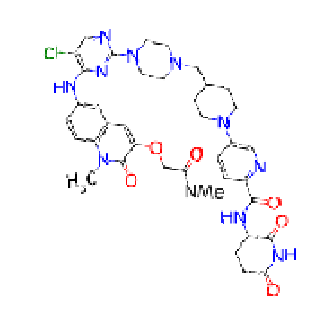 CNC(=O)COc1cc2cc(Nc3nc(N4CCN(CC5CCN(c6ccc(C(=O)NC7CCC(=O)NC7=O)nc6)CC5)CC4)ncc3Cl)ccc2n(C)c1=O